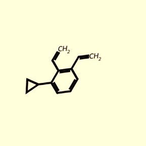 C=Cc1cccc(C2CC2)c1C=C